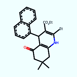 CCOC(=O)C1=C(CC)NC2=C(C(=O)CC(C)(C)C2)C1c1cccc2ccccc12